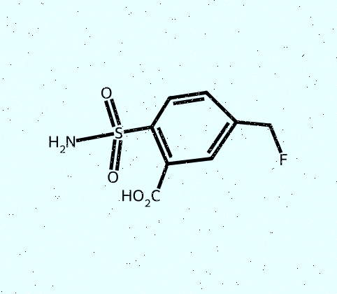 NS(=O)(=O)c1ccc(CF)cc1C(=O)O